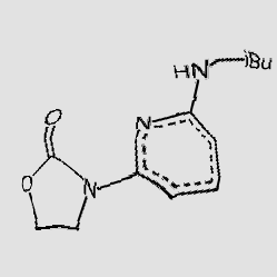 CCC(C)Nc1cccc(N2CCOC2=O)n1